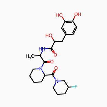 CC(NC(=O)C(O)Cc1ccc(O)c(O)c1)C(=O)N1CCCCC1C(=O)N1CCCC(F)C1